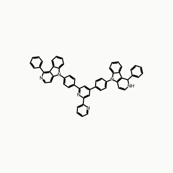 C1=Cc2c(c3ccccc3n2-c2ccc(-c3cc(-c4ccc(-n5c6ccccc6c6c(-c7ccccc7)nccc65)cc4)nc(-c4ccccn4)c3)cc2)C(c2ccccc2)N1